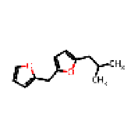 CC(C)Cc1ccc(Cc2ccco2)o1